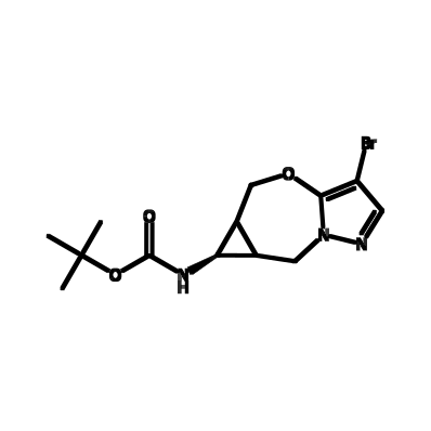 CC(C)(C)OC(=O)N[C@H]1C2COc3c(Br)cnn3CC21